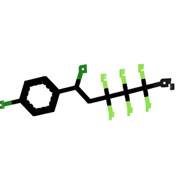 FC(F)(F)C(F)(F)C(F)(F)C(F)(F)CC(Cl)c1ccc(Cl)cc1